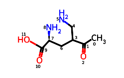 CC(=O)C(CN)C[C@H](N)C(=O)O